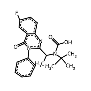 CC(c1nc2ccc(F)cc2c(=O)n1-c1ccccc1)N(C(=O)O)C(C)(C)C